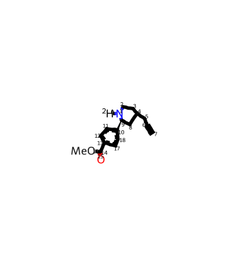 [2H]N1CCC(CC#C)C[C@H]1c1ccc(C(=O)OC)cc1